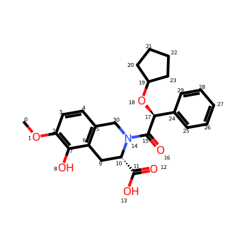 COc1ccc2c(c1O)C[C@@H](C(=O)O)N(C(=O)[C@@H](OC1CCCC1)c1ccccc1)C2